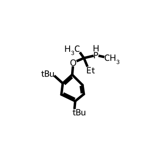 CCC(C)(Oc1ccc(C(C)(C)C)cc1C(C)(C)C)PC